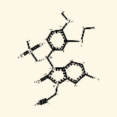 CCOc1cc([C@@H](CS(C)(=O)=O)n2c(=O)n(CC#N)c3cc(F)ccc32)ccc1OC